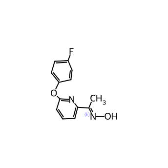 C/C(=N\O)c1cccc(Oc2ccc(F)cc2)n1